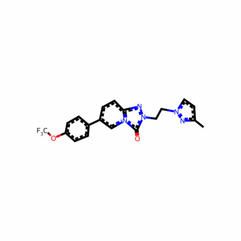 Cc1ccn(CCn2nc3ccc(-c4ccc(OC(F)(F)F)cc4)cn3c2=O)n1